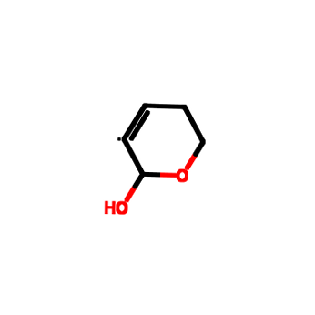 OC1[C]=CCCO1